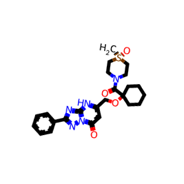 C=S1(=O)CCN(C(=O)C2(OCc3cc(=O)n4nc(-c5ccccc5)nc4[nH]3)CCCCC2)CC1